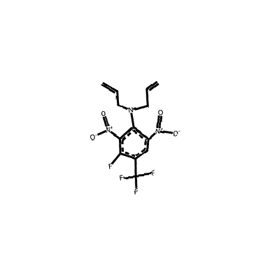 C=CCN(CC=C)c1c([N+](=O)[O-])cc(C(F)(F)F)c(F)c1[N+](=O)[O-]